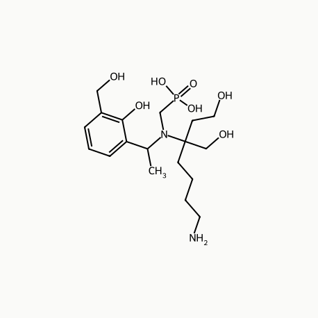 CC(c1cccc(CO)c1O)N(CP(=O)(O)O)C(CO)(CCO)CCCCN